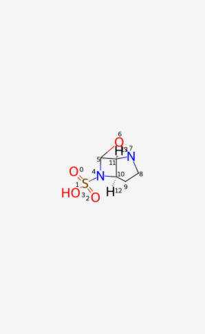 O=S(=O)(O)N1C2ON3CC[C@@H]1[C@@H]23